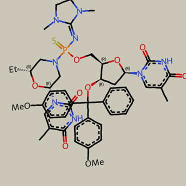 CC[C@@H]1CN(P(=S)(N=C2N(C)CCN2C)OC[C@H]2O[C@@H](n3cc(C)c(=O)[nH]c3=O)C[C@H]2OC(c2ccccc2)(c2ccc(OC)cc2)c2ccc(OC)cc2)C[C@H](n2cc(C)c(=O)[nH]c2=O)O1